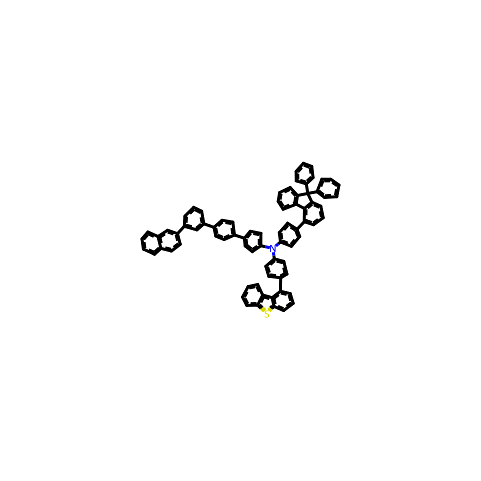 c1ccc(C2(c3ccccc3)c3ccccc3-c3c(-c4ccc(N(c5ccc(-c6ccc(-c7cccc(-c8ccc9ccccc9c8)c7)cc6)cc5)c5ccc(-c6cccc7sc8ccccc8c67)cc5)cc4)cccc32)cc1